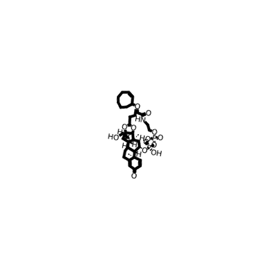 CCCC1O[C@@H]2C[C@H]3[C@@H]4CCC5=CC(=O)C=C[C@]5(C)[C@H]4[C@@H](OP(=O)(O)OP(=O)(O)OCCNC(=O)COC4/C=C\CCCCC4)C[C@]3(C)[C@]2(C(=O)CO)O1